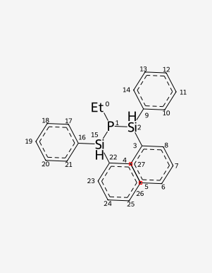 CCP([SiH](c1ccccc1)c1ccccc1)[SiH](c1ccccc1)c1ccccc1